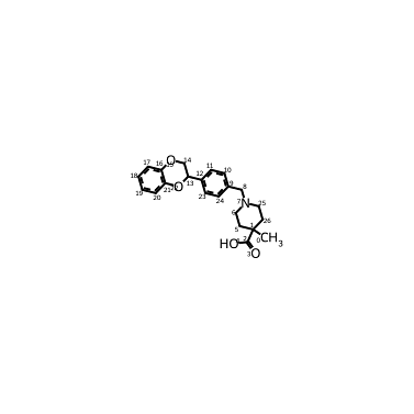 CC1(C(=O)O)CCN(Cc2ccc(C3COc4ccccc4O3)cc2)CC1